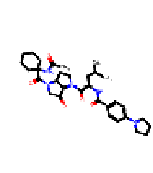 CC(=O)NC1(C(=O)N2CC(=O)C3C2CCN3C(=O)C(CC(C)C)NC(=O)c2ccc(N3CCCC3)cc2)CCCCC1